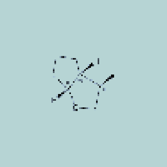 C[C@H]1CO[C@@H]2CCC[C@H]12